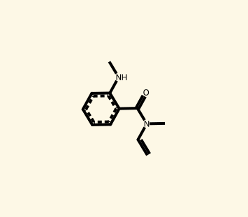 C=CN(C)C(=O)c1ccccc1NC